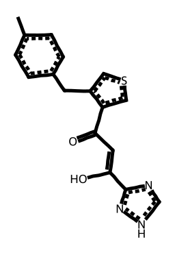 Cc1ccc(Cc2cscc2C(=O)C=C(O)c2nc[nH]n2)cc1